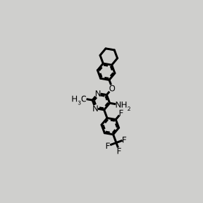 Cc1nc(Oc2ccc3c(c2)CCCC3)c(N)c(-c2ccc(C(F)(F)F)cc2F)n1